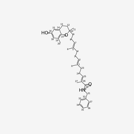 C/C(=C\CC/C(C)=C/CCC1(C)CCc2cc(O)cc(C)c2O1)CC/C=C(\C)C(=O)NCc1ccccc1